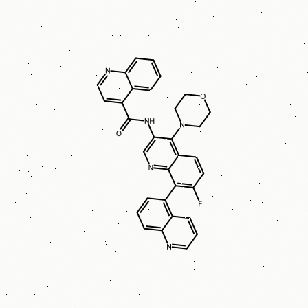 O=C(Nc1cnc2c(-c3cccc4ncccc34)c(F)ccc2c1N1CCOCC1)c1ccnc2ccccc12